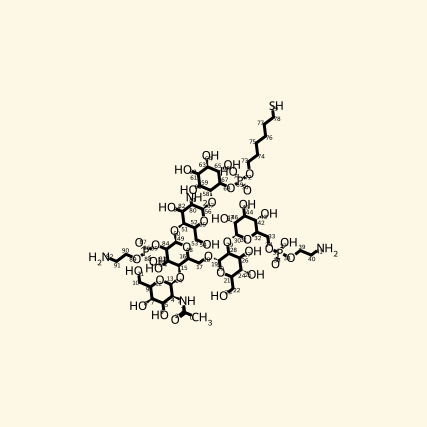 CC(=O)N[C@H]1C(O)[C@@H](O)C(CO)O[C@H]1O[C@@H]1C(CO[C@H]2OC(CO)[C@@H](O)C(O)C2O[C@H]2OC(COP(=O)(O)OCCN)[C@@H](O)C(O)[C@H]2O)O[C@H](O[C@@H]2C(CO)O[C@H](O[C@@H]3C(O)C(O)[C@@H](O)[C@H](O)C3OP(=O)(O)OCCCCCCS)C(N)C2O)C(OP(=O)(O)OCCN)C1O